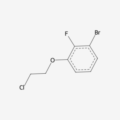 Fc1c(Br)cccc1OCCCl